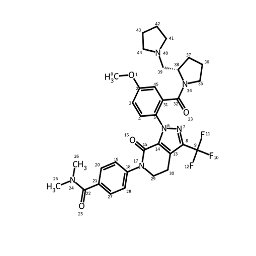 COc1ccc(-n2nc(C(F)(F)F)c3c2C(=O)N(c2ccc(C(=O)N(C)C)cc2)CC3)c(C(=O)N2CCC[C@H]2CN2CCCC2)c1